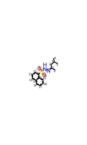 CC(CC(C)C)=NNS(=O)(=O)c1cccc2ccccc12